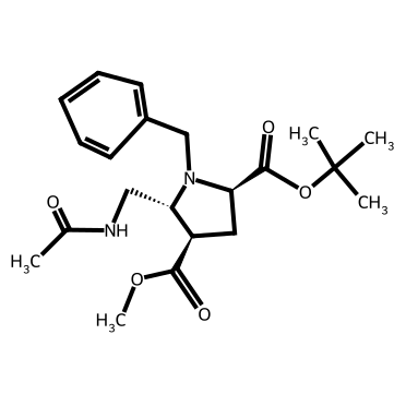 COC(=O)[C@@H]1C[C@H](C(=O)OC(C)(C)C)N(Cc2ccccc2)[C@H]1CNC(C)=O